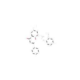 Cc1cc([C@@H](C)Nc2ccc(F)cc2CO)c2oc(-c3ccccc3)c(C)c(=O)c2c1